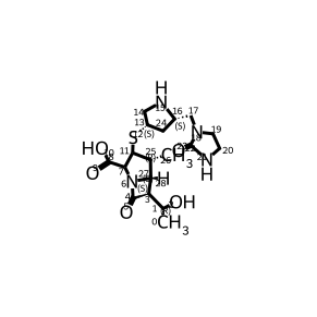 C[C@@H](O)[C@H]1C(=O)N2C(C(=O)O)C(S[C@@H]3CN[C@H](CN4CCNC4=O)C3)[C@H](C)[C@H]12